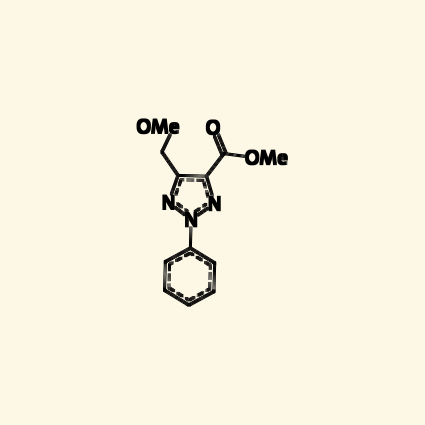 COCc1nn(-c2ccccc2)nc1C(=O)OC